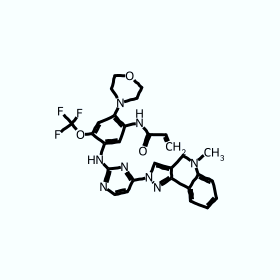 C=CC(=O)Nc1cc(Nc2nccc(-n3cc4c(n3)-c3ccccc3N(C)C4)n2)c(OC(F)(F)F)cc1N1CCOCC1